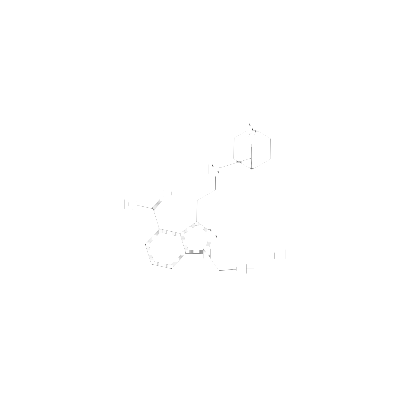 CCn1nc(CCNC2CN3CCC2CC3)c2c(C(=O)O)cccc21.[LiH]